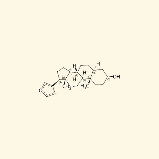 C[C@]12CC[C@H](O)C[C@@H]1CC[C@@H]1[C@@H]2CC[C@]2(C)[C@@H](c3ccoc3)CC[C@@H]12